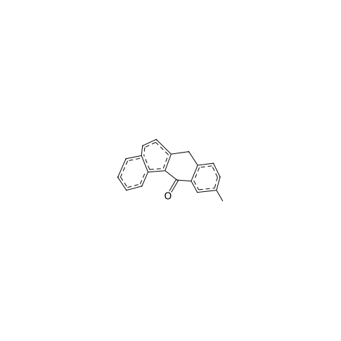 Cc1ccc2c(c1)C(=O)c1c(ccc3ccccc13)C2